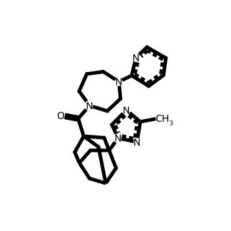 Cc1ncn(C23CC4CC(CC(C(=O)N5CCCN(c6ccccn6)CC5)(C4)C2)C3)n1